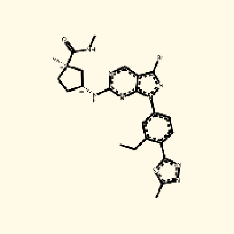 CCc1cc(-n2nc(Br)c3cnc(N[C@@H]4CC[C@@](C)(C(=O)NC)C4)nc32)ccc1-c1nnc(C)s1